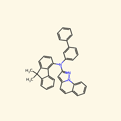 CC1(C)c2ccccc2-c2c(N(c3cccc(-c4ccccc4)c3)c3cc4ccc5ccccc5n4n3)cccc21